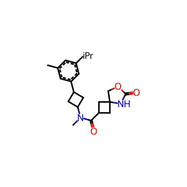 Cc1cc(C(C)C)cc(C2CC(N(C)C(=O)C3CC4(COC(=O)N4)C3)C2)c1